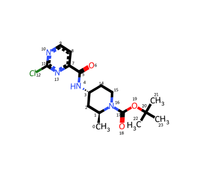 C[C@H]1C[C@H](NC(=O)c2ccnc(Cl)n2)CCN1C(=O)OC(C)(C)C